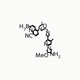 Bc1ccc2c(N3C[C@H](CN4CC(c5cnc(N6C[C@@H](N)[C@H](OC)C6)cc5C)C4)O[C@H](C)C3)ccc(C#N)c2n1